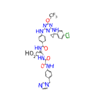 O=C(NC[C@H](NC(=O)c1ccc(Nc2nc(NC3(c4ccc(Cl)cc4)CC3)nc(OCC(F)(F)F)n2)cc1)C(=O)O)C(=O)Nc1ccc(Cn2ccnc2)cc1